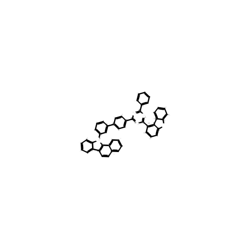 c1ccc(-c2nc(-c3ccc(-c4cccc(-n5c6ccccc6c6ccc7ccccc7c65)c4)cc3)nc(-c3cccc4sc5ccccc5c34)n2)cc1